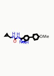 COc1ccc(-c2ccc3c(NC(=O)NCC4CC4)n[nH]c3c2)cc1